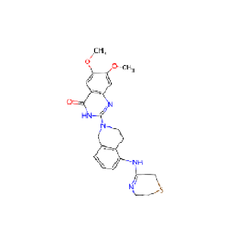 COc1cc2nc(N3CCc4c(cccc4NC4=NCCSC4)C3)[nH]c(=O)c2cc1OC